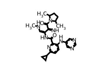 CN/C=C(/NC(=O)c1nc(C2CC2)ccc1Nc1cncnc1)C(=N)C(=O)N1C(C)CCC1C